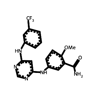 COc1ccc(Nc2cc(Nc3cccc(C(F)(F)F)c3)ncn2)cc1C(N)=O